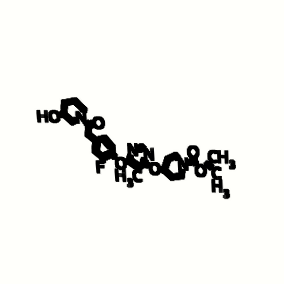 Cc1c(Oc2ccc(CC(=O)N3CCCC(O)C3)cc2F)ncnc1OC1CCN(C(=O)OC(C)C)CC1